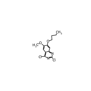 CCCCOc1cc2nc(Cl)nc(Cl)c2cc1OC